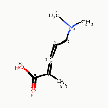 CC(=C=CCN(C)C)C(=O)O